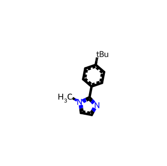 Cn1ccnc1-c1ccc(C(C)(C)C)cc1